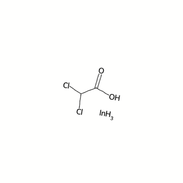 O=C(O)C(Cl)Cl.[InH3]